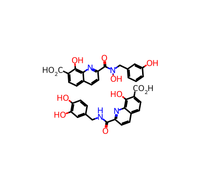 O=C(NCc1ccc(O)c(O)c1)c1ccc2ccc(C(=O)O)c(O)c2n1.O=C(O)c1ccc2ccc(C(=O)N(O)Cc3cccc(O)c3)nc2c1O